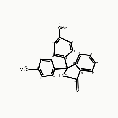 COc1ccc(C2(c3ccc(OC)cc3)NC(=O)c3ccccc32)cc1